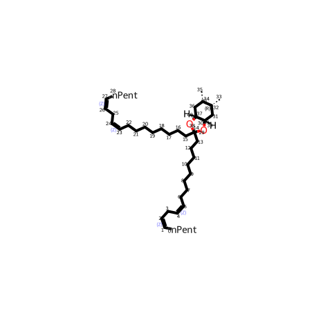 CCCCC/C=C\C/C=C\CCCCCCCCC1(CCCCCCCC/C=C\C/C=C\CCCCC)O[C@H]2C[C@@H](C)[C@@H](C)C[C@H]2O1